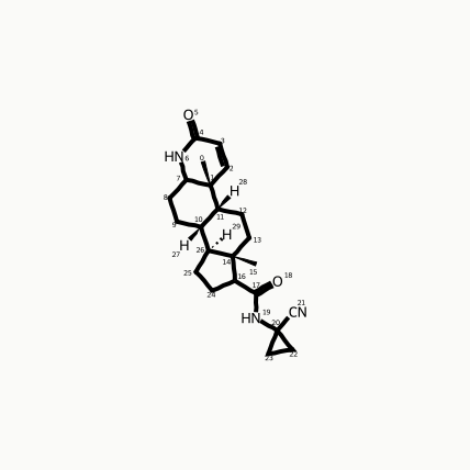 C[C@]12C=CC(=O)NC1CC[C@@H]1[C@H]2CC[C@]2(C)C(C(=O)NC3(C#N)CC3)CC[C@@H]12